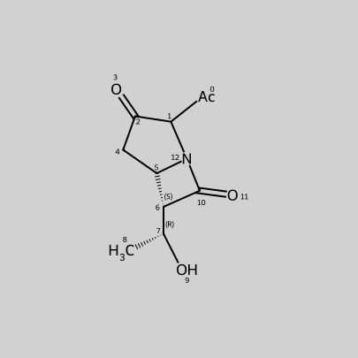 CC(=O)C1C(=O)CC2[C@@H]([C@@H](C)O)C(=O)N12